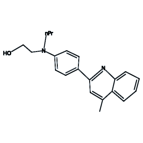 CCCN(CCO)c1ccc(-c2cc(C)c3ccccc3n2)cc1